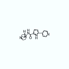 O=C(N[C@H]1CN2CCC1CC2)c1ccc(-c2ccncc2)[nH]1